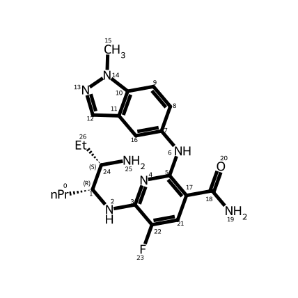 CCC[C@@H](Nc1nc(Nc2ccc3c(cnn3C)c2)c(C(N)=O)cc1F)[C@@H](N)CC